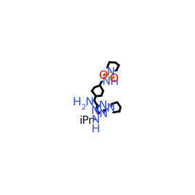 CC(C)Nc1nc(C(N)C2CCC(CNS(=O)(=O)N3CCCCC3)CC2)nc(N2CCCCC2)n1